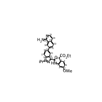 CCOC(=O)Cc1ccc(OC)cc1NC(=O)c1nn(C(C)C)c2ccc(-c3ccc4ccnc(N)c4c3)cc12